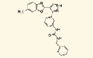 Cc1ccc2nc(-c3c[nH]nc3-c3cccc(NC(=O)NCc4ccccc4)c3)oc2c1